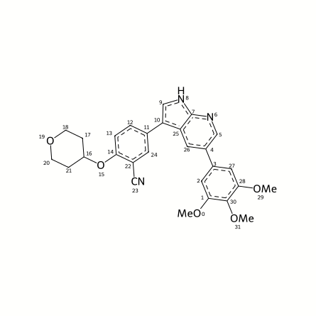 COc1cc(-c2cnc3[nH]cc(-c4ccc(OC5CCOCC5)c(C#N)c4)c3c2)cc(OC)c1OC